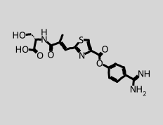 C/C(=C\c1nc(C(=O)Oc2ccc(C(=N)N)cc2)cs1)C(=O)N[C@@H](CO)C(=O)O